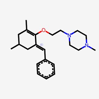 CC1=C(OCCN2CCN(C)CC2)/C(=C/c2ccccc2)CC(C)C1